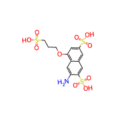 Nc1cc2c(OCCCS(=O)(=O)O)cc(S(=O)(=O)O)cc2cc1S(=O)(=O)O